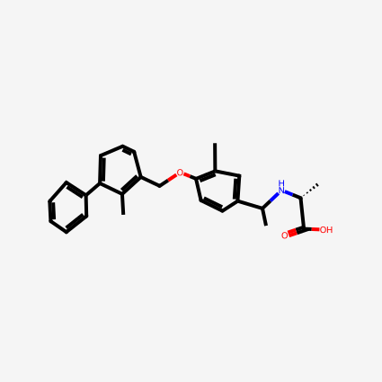 Cc1cc(C(C)N[C@H](C)C(=O)O)ccc1OCc1cccc(-c2ccccc2)c1C